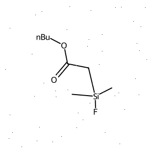 CCCCOC(=O)C[Si](C)(C)F